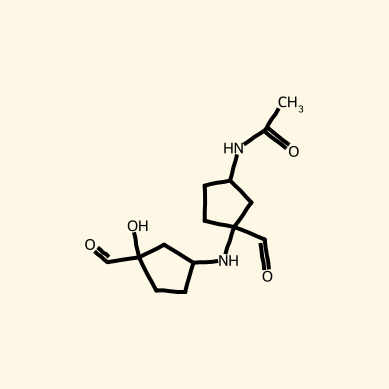 CC(=O)NC1CCC(C=O)(NC2CCC(O)(C=O)C2)C1